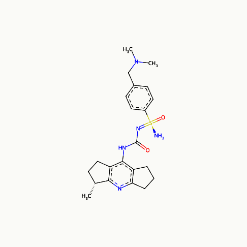 C[C@@H]1CCc2c1nc1c(c2NC(=O)N=[S@@](N)(=O)c2ccc(CN(C)C)cc2)CCC1